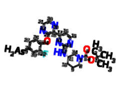 CC(C)(C)OC(=O)N1CCC[C@H](Nc2nccc(-c3nccnc3Oc3ccc([AsH2])cc3F)n2)C1